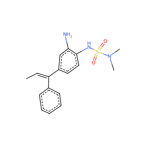 C/C=C(\c1ccccc1)c1ccc(NS(=O)(=O)N(C)C)c(N)c1